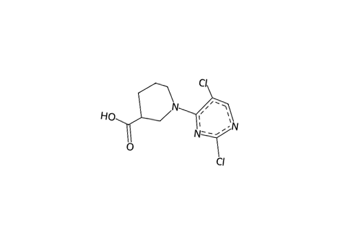 O=C(O)C1CCCN(c2nc(Cl)ncc2Cl)C1